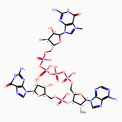 CC[C@@H]1[C@@H](COP(=O)(O)OP(=O)(O)OP(=O)(O)OP(=O)(O)OC[C@H]2O[C@@H](n3cnc4c(N)ncnc43)[C@H](OC)[C@@H]2OP(=O)(O)OC[C@H]2O[C@@H](n3cnc4c(=O)[nH]c(N)nc43)[C@H](O)[C@@H]2O)OC(n2c[n+](C)c3c(=O)[nH]c(N)nc32)[C@@H]1O